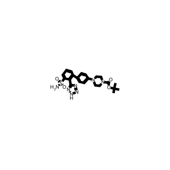 CC(C)(C)OC(=O)N1CCN(c2ccc(-c3cccc(S(N)(=O)=O)c3-c3nn[nH]n3)cc2)CC1